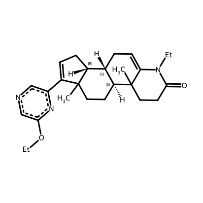 CCOc1cncc(C2=CC[C@@H]3[C@@H]4CC=C5N(CC)C(=O)CCC5(C)[C@H]4CCC23C)n1